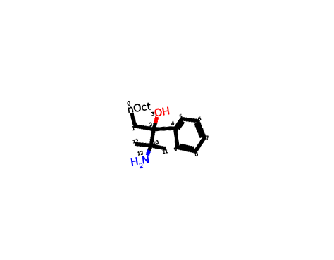 CCCCCCCCCC(O)(c1ccccc1)C(C)(C)N